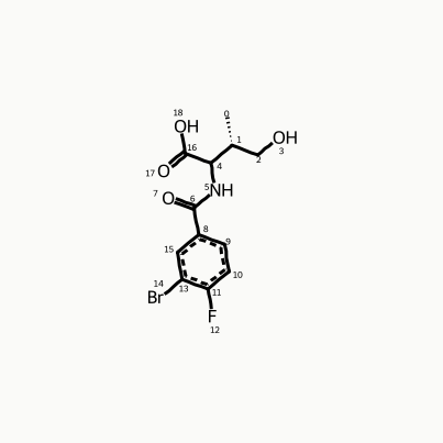 C[C@H](CO)C(NC(=O)c1ccc(F)c(Br)c1)C(=O)O